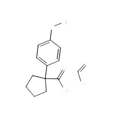 COc1ccc(C2(C(=O)O)CCCC2)cc1.O=CO